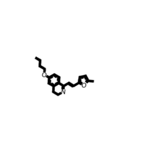 CCCCOc1ccc2c(c1)CCN=C2C=Cc1ccc(C)o1